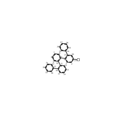 Clc1ccc(-c2ccccc2-c2ccccc2-c2ccccc2)c(-c2ccccc2)c1